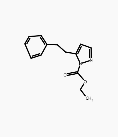 CCOC(=O)n1nccc1CCc1ccccc1